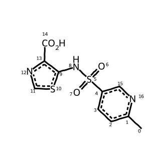 Cc1ccc(S(=O)(=O)Nc2scnc2C(=O)O)cn1